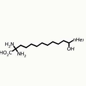 CCCCCCC(O)CCCCCCCCCC(N)(N)C(=O)O